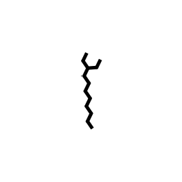 CCCCCCC[CH]C(CC)CC